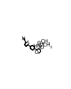 CC(C)S(=O)(=O)N[C@H]1CCCO[C@H]1c1ccc(-c2ccc(C#N)s2)cc1